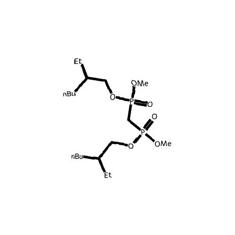 CCCCC(CC)COP(=O)(CP(=O)(OC)OCC(CC)CCCC)OC